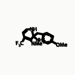 CNC1=C(C(F)(F)F)C=CNC1(N)Cc1ccc(OC)cc1